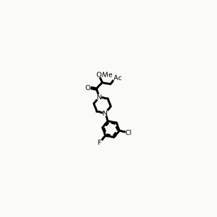 COC(CC(C)=O)C(=O)N1CCN(c2cc(F)cc(Cl)c2)CC1